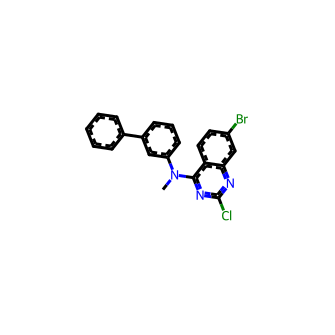 CN(c1cccc(-c2ccccc2)c1)c1nc(Cl)nc2cc(Br)ccc12